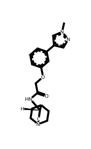 Cn1cc(-c2c[c]cc(OCC(=O)N[C@H]3CN4CCC3CC4)c2)cn1